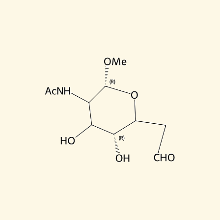 CO[C@@H]1OC(CC=O)[C@H](O)C(O)C1NC(C)=O